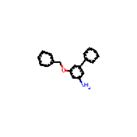 Nc1cc(OCc2ccccc2)cc(-c2ccccc2)c1